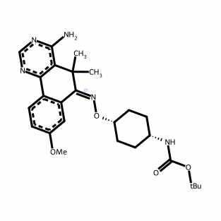 COc1ccc2c(c1)/C(=N\O[C@H]1CC[C@@H](NC(=O)OC(C)(C)C)CC1)C(C)(C)c1c(N)ncnc1-2